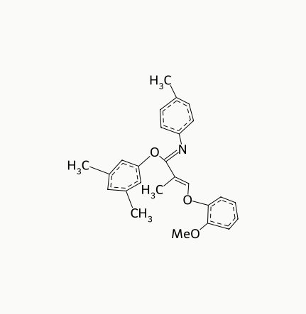 COc1ccccc1O/C=C(C)/C(=N/c1ccc(C)cc1)Oc1cc(C)cc(C)c1